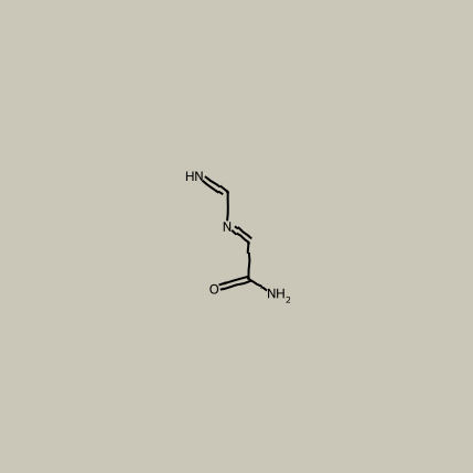 N=CN=CC(N)=O